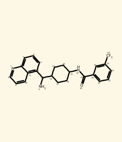 NC(c1cccc2ncccc12)C1CCC(NC(=O)c2cccc(C(F)(F)F)c2)CC1